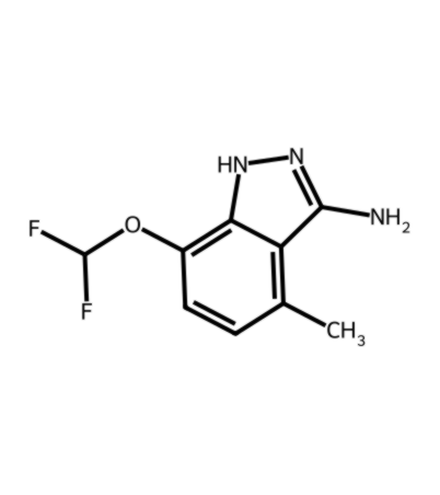 Cc1ccc(OC(F)F)c2[nH]nc(N)c12